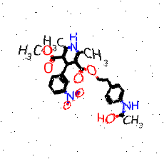 COC(=O)C1=C(C)NC(C)=C(C(=O)OCCc2ccc(NC(C)O)cc2)C1c1cccc([N+](=O)[O-])c1